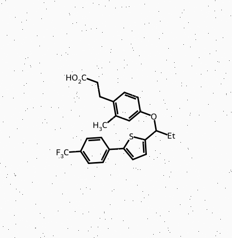 CCC(Oc1ccc(CCC(=O)O)c(C)c1)c1ccc(-c2ccc(C(F)(F)F)cc2)s1